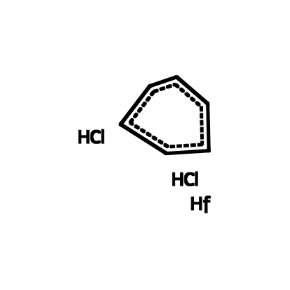 Cl.Cl.[Hf].c1ccccc1